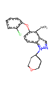 O=[N+]([O-])c1c(Oc2ccccc2Cl)ccc2c1cnn2C1CCOCC1